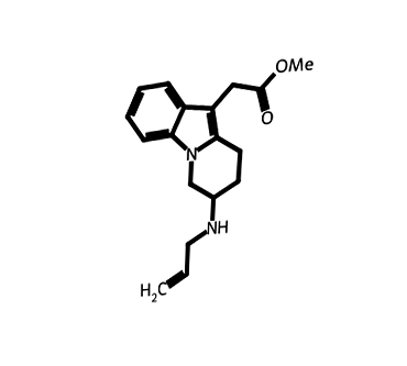 C=CCNC1CCc2c(CC(=O)OC)c3ccccc3n2C1